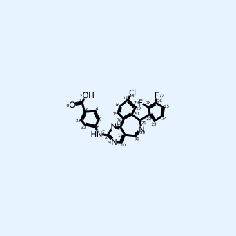 O=C(O)c1ccc(Nc2ncc3c(n2)-c2ccc(Cl)cc2C(c2cccc(F)c2F)N=C3)cc1